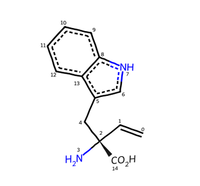 C=C[C@](N)(Cc1c[nH]c2ccccc12)C(=O)O